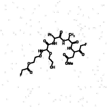 COC(=O)CC(NC(=O)C(C)NC(=O)C(NC(=O)C(NOCCOC(=O)CF)OCCO)C(C)C)C(=O)CF